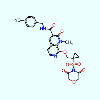 Cn1c(=O)c(C(=O)NCc2ccc(C#N)cc2)cc2ccnc(OCC3(S(=O)(=O)N4C(=O)COCC4=O)CC3)c21